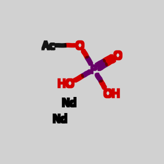 CC(=O)OP(=O)(O)O.[Nd].[Nd]